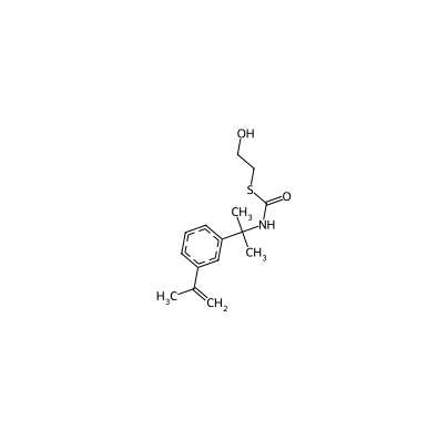 C=C(C)c1cccc(C(C)(C)NC(=O)SCCO)c1